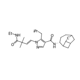 CCNC(=O)C(C)(C)/C=C/n1ncc(C(=O)N[C@@H]2CCC3CC4CC2C4C3)c1CC(C)C